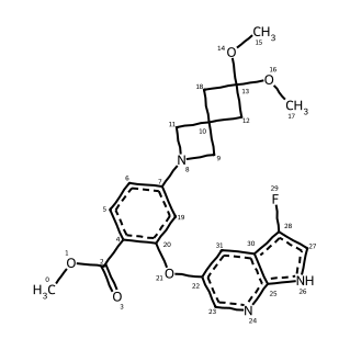 COC(=O)c1ccc(N2CC3(C2)CC(OC)(OC)C3)cc1Oc1cnc2[nH]cc(F)c2c1